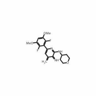 C=C1C=C(c2c(F)c(OC)cc(OC)c2F)N=C(NC2CCOCC2)C1=N